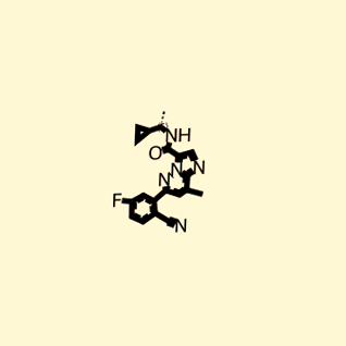 Cc1cc(-c2cc(F)ccc2C#N)nn2c(C(=O)N[C@@H](C)C3CC3)cnc12